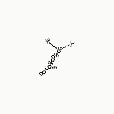 C=CC(=O)OCCCCCCOc1ccc(C(=O)Oc2ccc3cc(C(=O)Oc4ccc(CC(=O)c5ccc6ccccc6c5)cc4CCC)ccc3c2)cc1OCCCCCCOC(=O)C=C